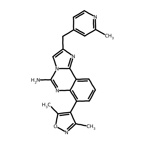 Cc1cc(Cc2cn3c(N)nc4c(-c5c(C)noc5C)cccc4c3n2)ccn1